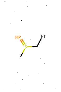 CCCS(C)=P